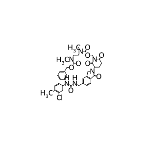 Cc1ccc(NC(=O)NCc2ccc3c(c2)CN(C2CCC(=O)N(COC(=O)N(C)CCN(C)C(=O)OCc4ccccc4)C2=O)C3=O)cc1Cl